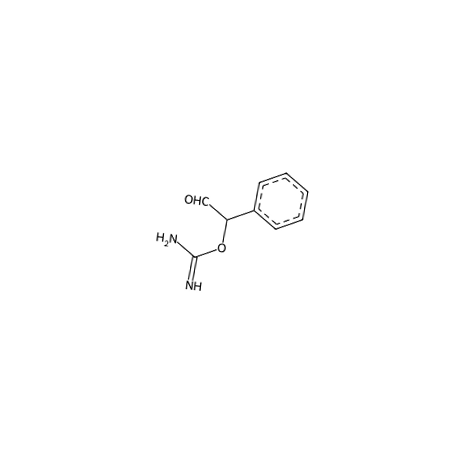 N=C(N)OC(C=O)c1ccccc1